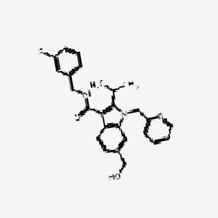 CC(C)c1c(C(=O)NCc2cccc(F)c2)c2ccc(CO)cc2n1Cc1ccccn1